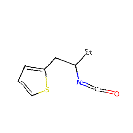 CCC(Cc1cccs1)N=C=O